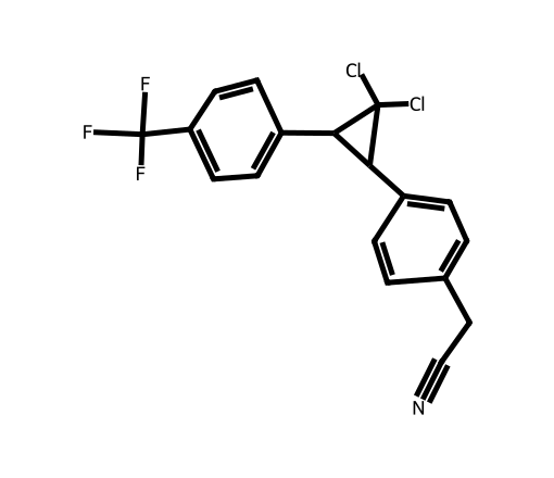 N#CCc1ccc(C2C(c3ccc(C(F)(F)F)cc3)C2(Cl)Cl)cc1